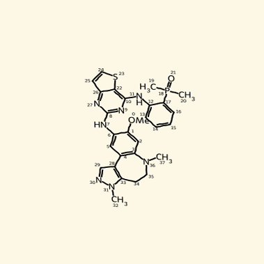 COc1cc2c(cc1Nc1nc(Nc3ccccc3P(C)(C)=O)c3sccc3n1)-c1cnn(C)c1CCN2C